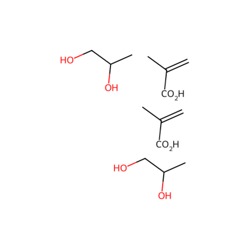 C=C(C)C(=O)O.C=C(C)C(=O)O.CC(O)CO.CC(O)CO